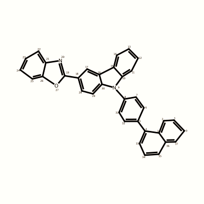 c1ccc2c(-c3ccc(-n4c5ccccc5c5cc(-c6nc7ccccc7o6)ccc54)cc3)cccc2c1